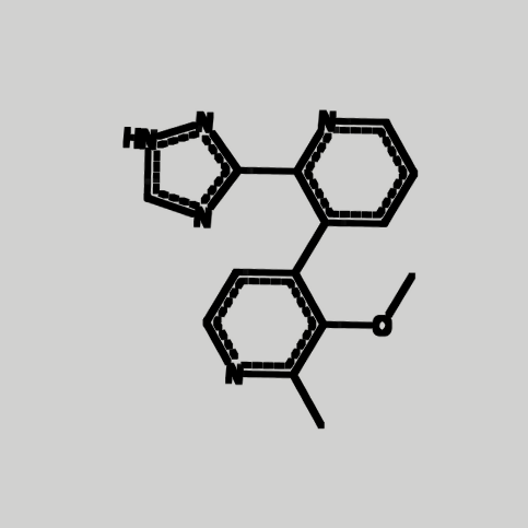 COc1c(-c2cccnc2-c2nc[nH]n2)ccnc1C